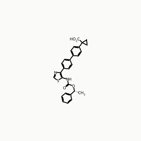 C[C@@H](OC(=O)Nc1scnc1-c1ccc(-c2ccc(C3(C(=O)O)CC3)cc2)cc1)c1ccccc1